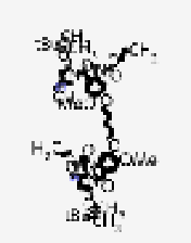 C=CCOC(=O)Nc1cc(OCCCCCOc2cc(NC(=O)OCC=C)c(C(=O)N3C/C(=C\C)C[C@H]3CO[Si](C)(C)C(C)(C)C)cc2OC)c(OC)cc1C(=O)N1C/C(=C\C)C[C@H]1CO[Si](C)(C)C(C)(C)C